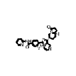 N[N+]12C=CN=CC1=C([C@H]1CC[C@@H]3CCC(=O)N3C1)N=C2c1ccc(C(=O)Nc2ccccn2)cc1